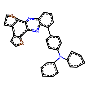 c1ccc(N(c2ccccc2)c2ccc(-c3cccc4nc5c(nc34)c3sccc3c3ccsc35)cc2)cc1